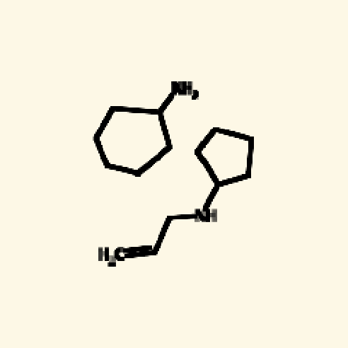 C=CCNC1CCCC1.NC1CCCCC1